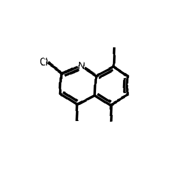 Cc1ccc(C)c2c(C)cc(Cl)nc12